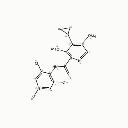 COc1cnc(C(=O)Nc2c(Cl)c[n+]([O-])cc2Cl)c(OC)c1C1CC1